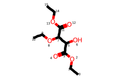 CCOC(=O)C(O)C(OCC)C(=O)OCC